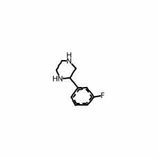 Fc1cccc(C2CNCCN2)c1